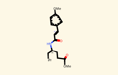 COC(=O)CC[C@@H](CC(C)C)NC(=O)/C=C/c1ccc(OC)cc1